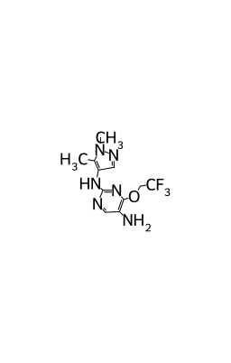 Cc1c(Nc2ncc(N)c(OCC(F)(F)F)n2)cnn1C